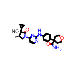 C[C@@H]1CN(c2ccnc(Nc3ccc(C4(C(N)=O)CCOCC4)cc3)n2)C(=O)[C@]1(C#N)C1CC1